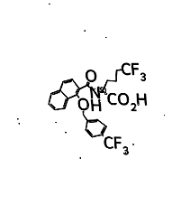 O=C(N[C@@H](CCCC(F)(F)F)C(=O)O)c1ccc2ccccc2c1OCc1ccc(C(F)(F)F)cc1